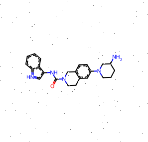 NC1CCCN(c2ccc3c(c2)CCN(C(=O)Nc2c[nH]c4ccccc24)C3)C1